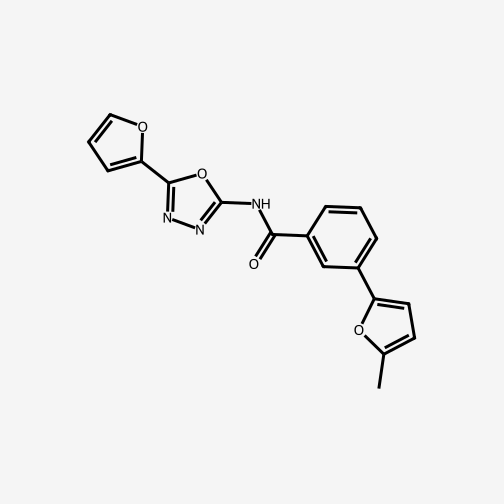 Cc1ccc(-c2cccc(C(=O)Nc3nnc(-c4ccco4)o3)c2)o1